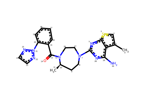 Cc1csc2nc(N3CC[C@@H](C)N(C(=O)c4ccccc4-n4nccn4)CC3)nc(N)c12